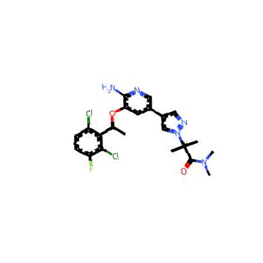 CC(Oc1cc(-c2cnn(C(C)(C)C(=O)N(C)C)c2)cnc1N)c1c(Cl)ccc(F)c1Cl